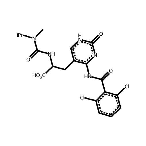 CC(C)N(C)C(=O)NC(Cc1c[nH]c(=O)nc1NC(=O)c1c(Cl)cccc1Cl)C(=O)O